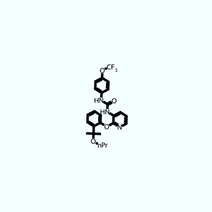 CCCOC(C)(C)c1ccccc1Oc1ncccc1NC(=O)Nc1ccc(OC(F)(F)F)cc1